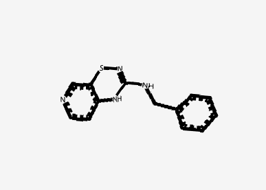 c1ccc(CNC2=NSc3cnccc3N2)cc1